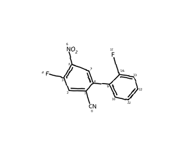 N#Cc1cc(F)c([N+](=O)[O-])cc1-c1ccccc1F